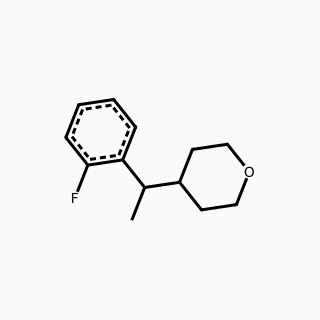 CC(c1ccccc1F)C1CCOCC1